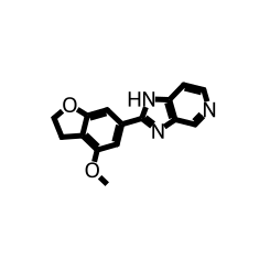 COc1cc(-c2nc3cnccc3[nH]2)cc2c1CCO2